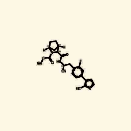 CC(C)(C)OC(=O)N1[C@@H]2CC[C@@H](C2)[C@H]1C(=O)N[C@H](C#N)Cc1ccc(-c2ccsc2C#N)cc1F